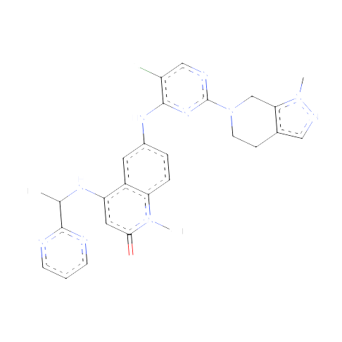 CC(Nc1cc(=O)n(C)c2ccc(Nc3nc(N4CCc5cnn(C)c5C4)ncc3Cl)cc12)c1ncccn1